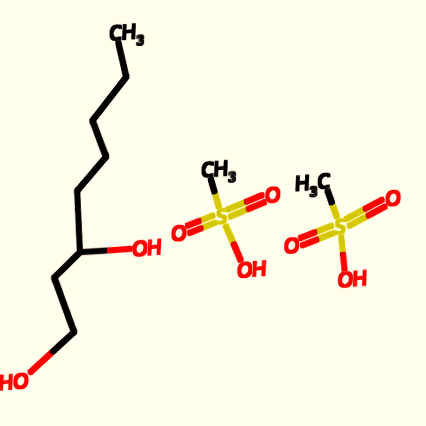 CCCCCC(O)CCO.CS(=O)(=O)O.CS(=O)(=O)O